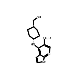 CCOC(=O)c1cnc2[nH]ccc2c1N[C@H]1CC[C@H](CS)CC1